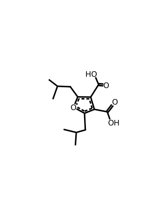 CC(C)Cc1oc(CC(C)C)c(C(=O)O)c1C(=O)O